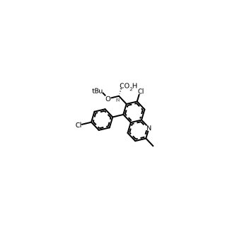 Cc1ccc2c(-c3ccc(Cl)cc3)c([C@H](OC(C)(C)C)C(=O)O)c(Cl)cc2n1